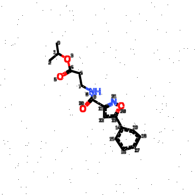 CC(C)OC(=O)CCNC(=O)c1cc(-c2ccccc2)on1